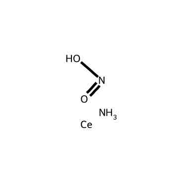 N.O=NO.[Ce]